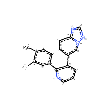 Cc1ccc(-c2ncccc2-c2ccc3ncnn3c2)cc1C